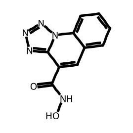 O=C(NO)c1cc2ccccc2n2nnnc12